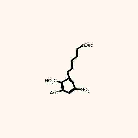 CCCCCCCCCCCCCCCc1cc([N+](=O)[O-])cc(OC(C)=O)c1C(=O)O